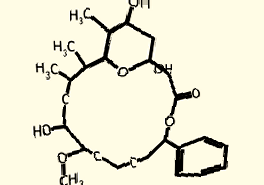 COC1CCCCC(c2ccccc2)OC(=O)CC2(O)CC(O)C(C)C(O2)C(C)C(C)CC1O